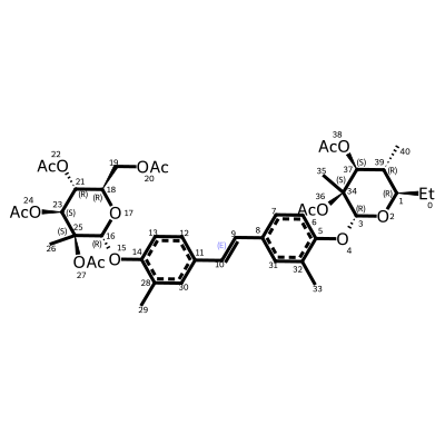 CC[C@H]1O[C@H](Oc2ccc(/C=C/c3ccc(O[C@H]4O[C@H](COC(C)=O)[C@@H](OC(C)=O)[C@H](OC(C)=O)[C@]4(C)OC(C)=O)c(C)c3)cc2C)[C@@](C)(OC(C)=O)[C@@H](OC(C)=O)[C@@H]1C